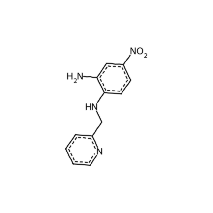 Nc1cc([N+](=O)[O-])ccc1NCc1ccccn1